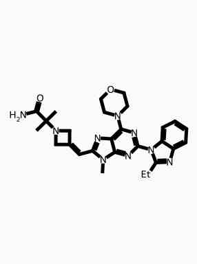 CCc1nc2ccccc2n1-c1nc(N2CCOCC2)c2nc(C=C3CN(C(C)(C)C(N)=O)C3)n(C)c2n1